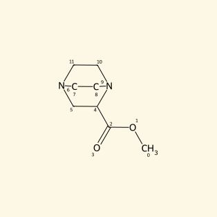 COC(=O)C1CN2CCN1CC2